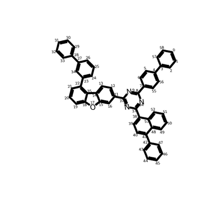 c1ccc(-c2ccc(-c3nc(-c4ccc5c(c4)oc4cccc(-c6cccc(-c7ccccc7)c6)c45)nc(-c4ccc(-c5ccccc5)c5ccccc45)n3)cc2)cc1